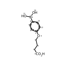 O=C(O)CCCOc1ccc(B(O)O)cc1